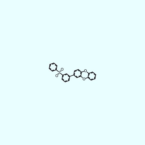 O=S(=O)(c1ccccc1)c1cccc(-c2ccc3c(c2)Oc2ccccc2O3)c1